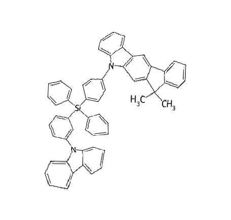 CC1(C)c2ccccc2-c2cc3c4ccccc4n(-c4ccc([Si](c5ccccc5)(c5ccccc5)c5cccc(-n6c7ccccc7c7ccccc76)c5)cc4)c3cc21